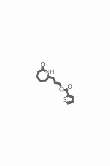 O=C1CCCCC(CC=COC(=O)c2cccs2)N1